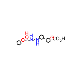 O=C(O)Oc1cccc(-c2cccc(NCCNC[C@@H](O)COc3ccccc3)c2)c1